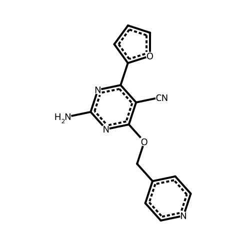 N#Cc1c(OCc2ccncc2)nc(N)nc1-c1ccco1